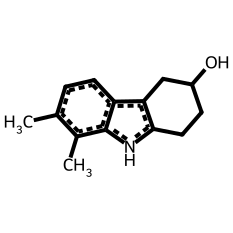 Cc1ccc2c3c([nH]c2c1C)CCC(O)C3